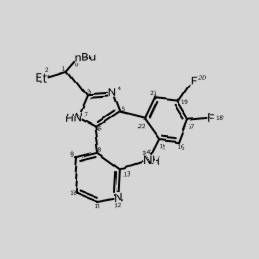 CCCCC(CC)c1nc2c([nH]1)-c1cccnc1Nc1cc(F)c(F)cc1-2